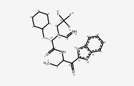 CCC(NC(=O)[C@H](CC1CCCCC1)N(C=N)CC(F)(F)F)C(=O)c1nc2ccccc2o1